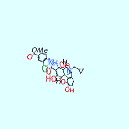 COC(=O)c1ccc(NC(=O)C2=C(O)[C@@H]3Oc4c(O)ccc5c4[C@@]34CCN(CC3CC3)[C@H](C5)[C@]4(O)C2)c(Cl)c1